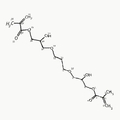 C=C(C)C(=O)OCC(O)COCCCOCC(O)COC(=O)C(=C)C